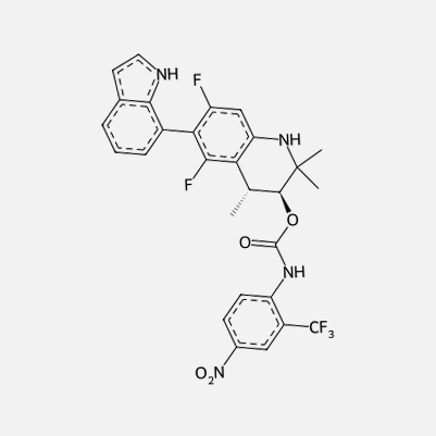 C[C@@H]1c2c(cc(F)c(-c3cccc4cc[nH]c34)c2F)NC(C)(C)[C@H]1OC(=O)Nc1ccc([N+](=O)[O-])cc1C(F)(F)F